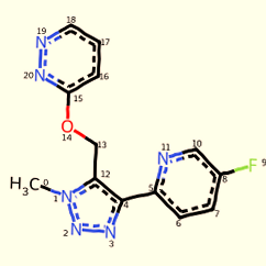 Cn1nnc(-c2ccc(F)cn2)c1COc1cccnn1